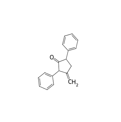 C=C1CC(c2ccccc2)C(=O)C1c1ccccc1